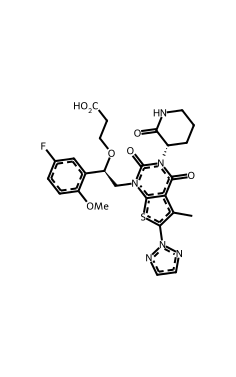 COc1ccc(F)cc1[C@H](Cn1c(=O)n([C@H]2CCCNC2=O)c(=O)c2c(C)c(-n3nccn3)sc21)OCCC(=O)O